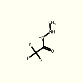 CNNC(=O)C(F)(F)F